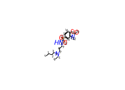 CCCCN(CC)CCCNS(=O)(=O)c1ccc2oc(=O)n(C)c2c1